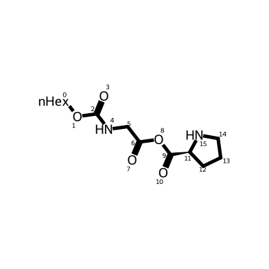 CCCCCCOC(=O)NCC(=O)OC(=O)[C@@H]1CCCN1